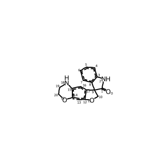 O=C1Nc2ccccc2C12COc1cc3c(cc12)NCCO3